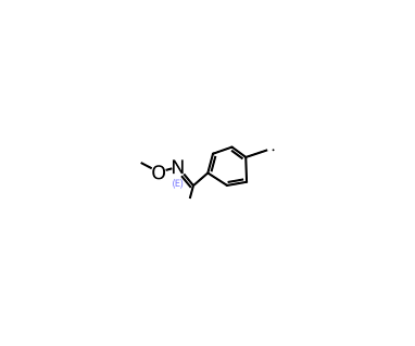 [CH2]c1ccc(/C(C)=N/OC)cc1